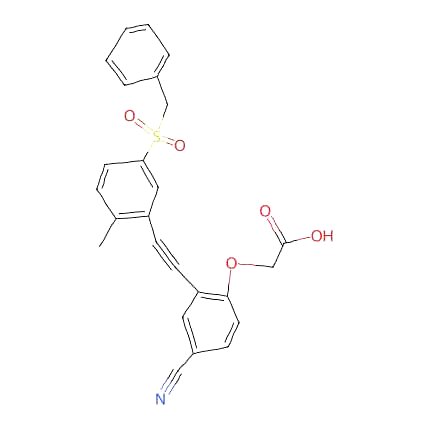 Cc1ccc(S(=O)(=O)Cc2ccccc2)cc1C#Cc1cc(C#N)ccc1OCC(=O)O